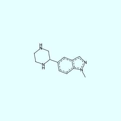 Cn1ncc2cc(C3CNCCN3)ccc21